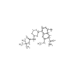 COc1cc2c(N3CCCC(NC(=O)OC(C)(C)C)C3)ncc(Br)c2cc1C(N)=O